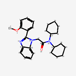 CCOc1ccccc1-c1nc2ccccc2n1CC(=O)N(C1CCCCC1)C1CCCCC1